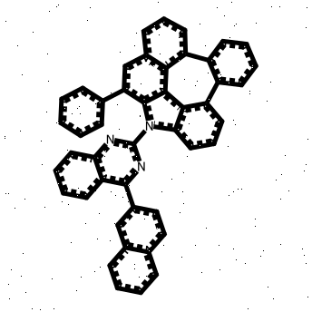 c1ccc(-c2cc3cccc4c3c3c5c(cccc5n(-c5nc(-c6ccc7ccccc7c6)c6ccccc6n5)c23)-c2ccccc2-4)cc1